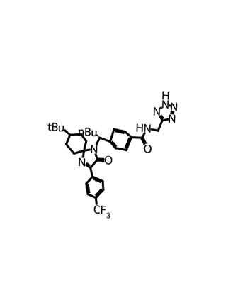 CCCC[C@H](c1ccc(C(=O)NCc2nn[nH]n2)cc1)N1C(=O)C(c2ccc(C(F)(F)F)cc2)=NC12CCC(C(C)(C)C)CC2